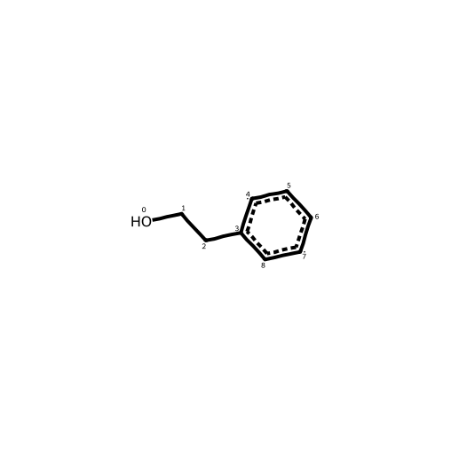 OCCc1[c]cc[c]c1